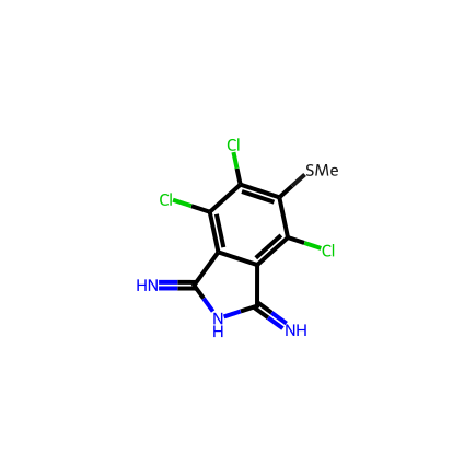 CSc1c(Cl)c(Cl)c2c(c1Cl)C(=N)NC2=N